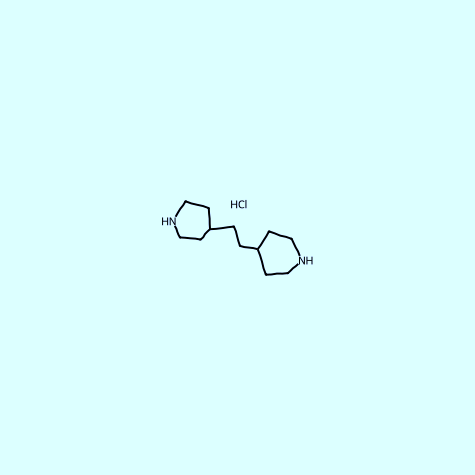 C1CC(CCC2CCNCC2)CCN1.Cl